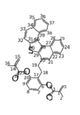 C=C(C)C(=O)Oc1cccc(OC(=O)C(=C)C)c1CCc1cc2ccccc2c2c1sc1ccc3ccccc3c12